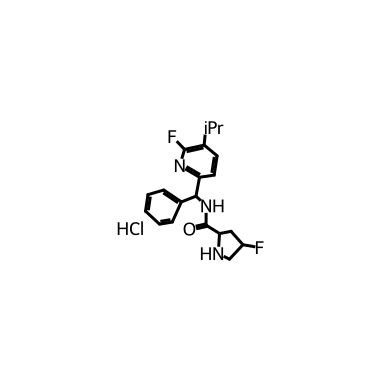 CC(C)c1ccc(C(NC(=O)C2CC(F)CN2)c2ccccc2)nc1F.Cl